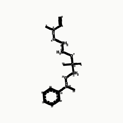 C=C[SiH](C)O[SiH2][SiH2]O[Si](C)(C)[SiH2]O[SiH](C)c1ccccc1